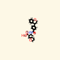 O=C(N[C@@H]1C[C@@]2(CCCO2)C[C@@H]1C(=O)O)c1ccc(C2CCOc3ccccc32)cc1